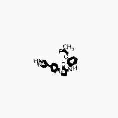 CC(F)COc1cccc(NC2CCN(c3ccc(-c4cn[nH]c4)cc3)C2=O)c1